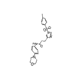 Cc1ccc(S(=O)(=O)n2cnc(CCC(=O)Nc3ccc(N4CCOCC4)cc3)c2)cc1